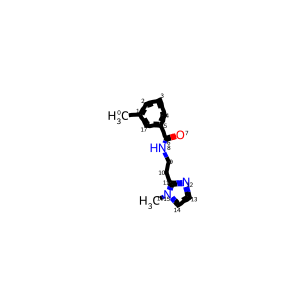 Cc1cccc(C(=O)NCCc2nccn2C)c1